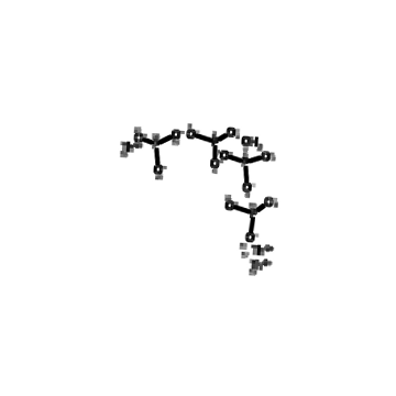 O.[O-]P([O-])[O-].[O-]P([O-])[O-].[O-]P([O-])[O-].[O-]P([O-])[O-].[Th+4].[Th+4].[Th+4]